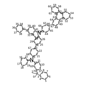 CC1(C)c2ccccc2-c2ccc(N(c3ccccc3)c3ccc(-c4ccc5c(c4)c4cc(-c6ccccc6)ccc4n5-c4ccc(-c5ccc6c7ccccc7c7ccccc7c6c5)cc4)cc3)cc21